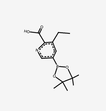 CCc1cc(B2OC(C)(C)C(C)(C)O2)cnc1C(=O)O